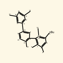 CCCCc1cc(C)c(C)c(-c2cc(-c3cc(C)cc(C)c3)ccc2C)[n+]1C